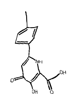 Cc1ccc(-c2cc(=O)c(O)c(C(=O)O)[nH]2)cc1